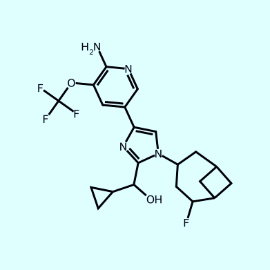 Nc1ncc(-c2cn(C3CC4CC(C4)C(F)C3)c(C(O)C3CC3)n2)cc1OC(F)(F)F